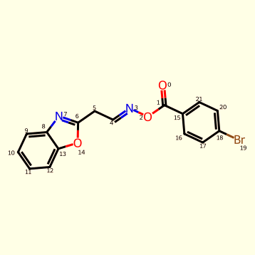 O=C(ON=CCc1nc2ccccc2o1)c1ccc(Br)cc1